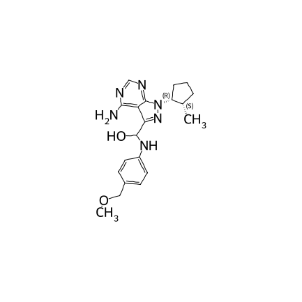 COCc1ccc(NC(O)c2nn([C@@H]3CCC[C@@H]3C)c3ncnc(N)c23)cc1